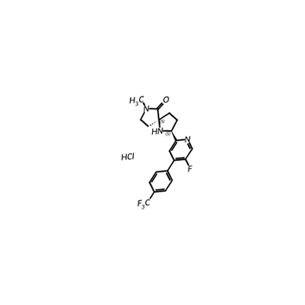 CN1CC[C@@]2(CC[C@@H](c3cc(-c4ccc(C(F)(F)F)cc4)c(F)cn3)N2)C1=O.Cl